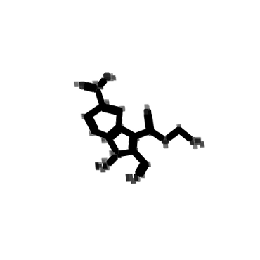 C=Cc1c(C(=O)OCC)c2cc([N+](=O)[O-])ccc2n1C